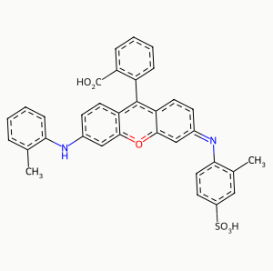 Cc1cc(S(=O)(=O)O)ccc1/N=c1/ccc2c(-c3ccccc3C(=O)O)c3ccc(Nc4ccccc4C)cc3oc-2c1